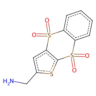 NCc1cc2c(s1)S(=O)(=O)c1ccccc1S2(=O)=O